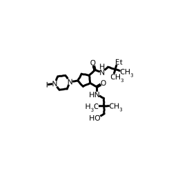 CCC(C)(C)CNC(=O)C1CC(N2CCN(I)CC2)CC1C(=O)NCC(C)(C)CO